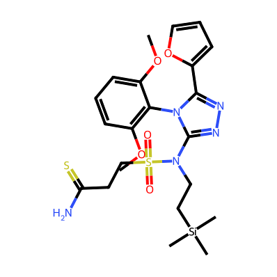 COc1cccc(OC)c1-n1c(-c2ccco2)nnc1N(CC[Si](C)(C)C)S(=O)(=O)CCC(N)=S